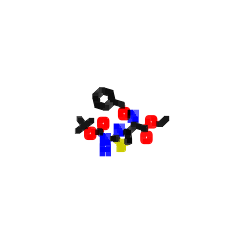 CCOC(=O)/C(=N/OCc1ccccc1)c1csc(NC(=O)OC(C)(C)C)n1